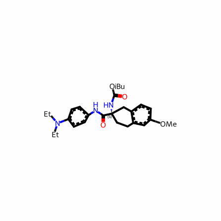 CCN(CC)c1ccc(NC(=O)[C@]2(NC(=O)OCC(C)C)CCc3cc(OC)ccc3C2)cc1